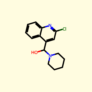 OC(c1cc(Cl)nc2ccccc12)N1CCCCC1